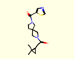 CC1(C)CC1C(=O)N1CC2(CCN(C(=O)c3cncs3)C2)C1